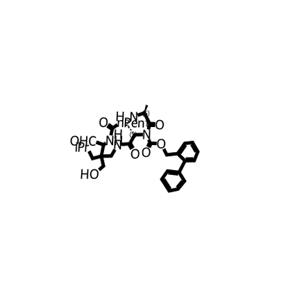 CCCCCC(=O)NC([C]=O)C(CO)(CNC(=O)[C@H](C)N(C(=O)OCc1ccccc1-c1ccccc1)C(=O)[C@H](C)N)CC(C)C